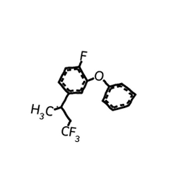 C[C](CC(F)(F)F)c1ccc(F)c(Oc2ccccc2)c1